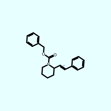 O=C(OCc1ccccc1)N1CCCCC1/C=C/c1ccccc1